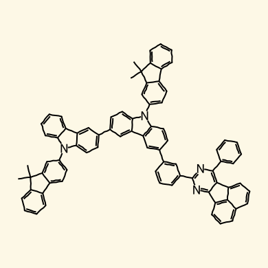 CC1(C)c2ccccc2-c2ccc(-n3c4ccccc4c4cc(-c5ccc6c(c5)c5cc(-c7cccc(-c8nc(-c9ccccc9)c9c(n8)-c8cccc%10cccc-9c8%10)c7)ccc5n6-c5ccc6c(c5)C(C)(C)c5ccccc5-6)ccc43)cc21